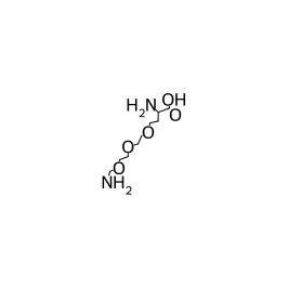 NCOCCOCCOCCC(N)C(=O)O